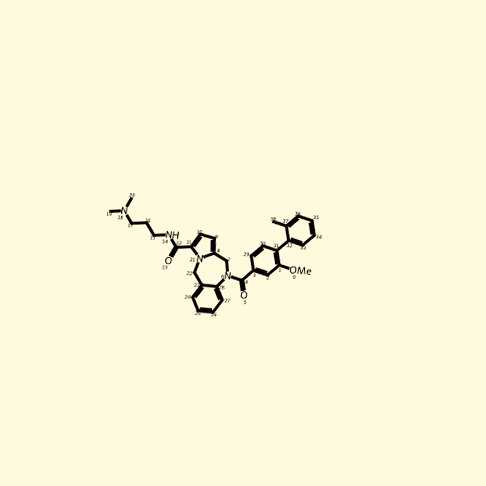 COc1cc(C(=O)N2Cc3ccc(C(=O)NCCCN(C)C)n3Cc3ccccc32)ccc1-c1ccccc1C